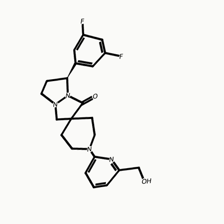 O=C1N2[C@H](c3cc(F)cc(F)c3)CCN2CC12CCN(c1cccc(CO)n1)CC2